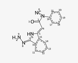 N#CN(C(=O)C=C1NC(=NN)c2ccccc21)c1ccccc1